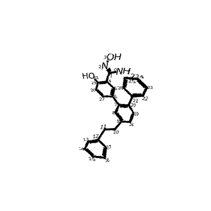 N/C(=N\O)c1cc(-c2cc(CCc3ccccc3)ccc2-c2ccccc2)ccc1O